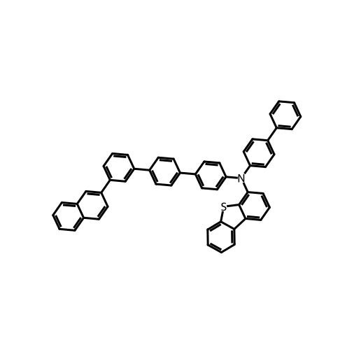 c1ccc(-c2ccc(N(c3ccc(-c4ccc(-c5cccc(-c6ccc7ccccc7c6)c5)cc4)cc3)c3cccc4c3sc3ccccc34)cc2)cc1